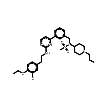 CCCN1CCC(N(Cc2cccc(-c3ccnc(NCCc4ccc(OCC)c(Cl)c4)n3)c2)S(C)(=O)=O)CC1